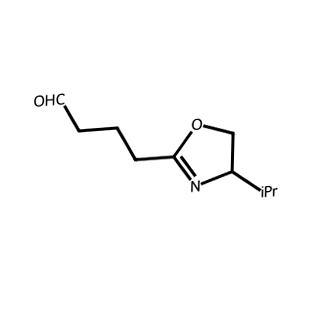 CC(C)C1COC(CCCC=O)=N1